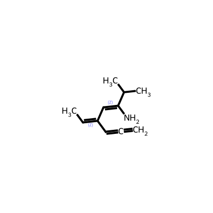 C=C=CC(=C/C)/C=C(\N)C(C)C